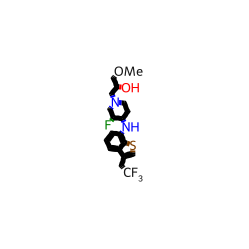 COCC(O)CN1CCC(Nc2cccc3c(CC(F)(F)F)csc23)C(F)C1